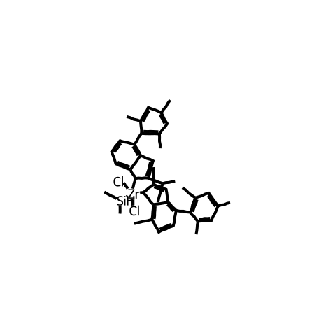 CC1=Cc2c(-c3c(C)cc(C)cc3C)ccc(C)c2[CH]1[Zr]([Cl])([Cl])([CH]1C(C(C)C)=Cc2c(-c3c(C)cc(C)cc3C)cccc21)[SiH](C)C